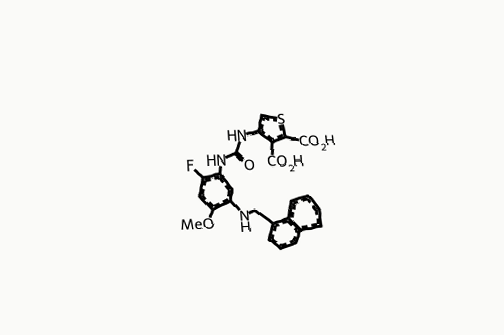 COc1cc(F)c(NC(=O)Nc2csc(C(=O)O)c2C(=O)O)cc1NCc1cccc2ccccc12